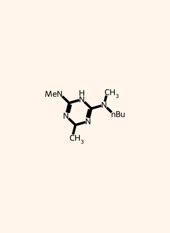 CCCCN(C)C1=NC(C)N=C(NC)N1